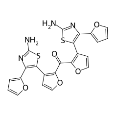 Nc1nc(-c2ccco2)c(-c2ccoc2C(=O)c2occc2-c2sc(N)nc2-c2ccco2)s1